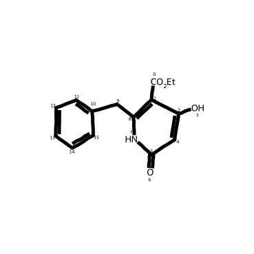 CCOC(=O)c1c(O)cc(=O)[nH]c1Cc1ccccc1